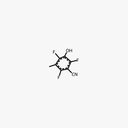 Cc1c(F)c(O)c(F)c(C#N)c1F